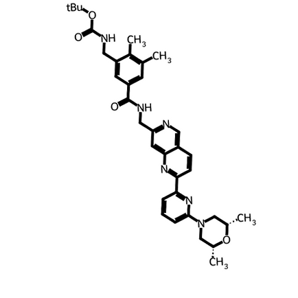 Cc1cc(C(=O)NCc2cc3nc(-c4cccc(N5C[C@@H](C)O[C@@H](C)C5)n4)ccc3cn2)cc(CNC(=O)OC(C)(C)C)c1C